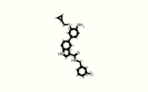 Nc1ccc(-c2ccc3[nH]cc(C(=O)NCc4cccc(Cl)c4)c3c2)cc1SCC1CC1